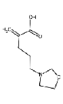 C=C(CCCN1CCOC1)C(=O)O